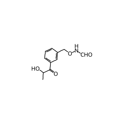 CC(O)C(=O)c1cccc(CONC=O)c1